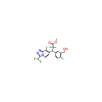 COC(=O)C(C)(C)C(c1ccc(C)c(CO)c1)c1ccn2c(C(F)F)nnc2c1C